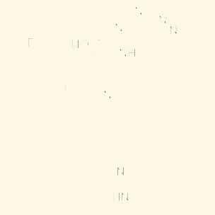 O=C(O)C(CCN(CCCCc1ccc2c(n1)NCCC2)CCOc1ccc(F)cc1)Nc1cc(-n2cccn2)ncn1